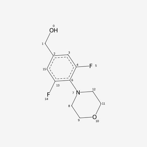 OCc1cc(F)c(N2CCOCC2)c(F)c1